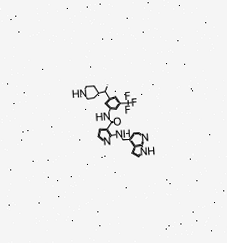 CC(c1cc(NC(=O)c2cccnc2NCc2ccnc3[nH]ccc23)cc(C(F)(F)F)c1)C1CCNCC1